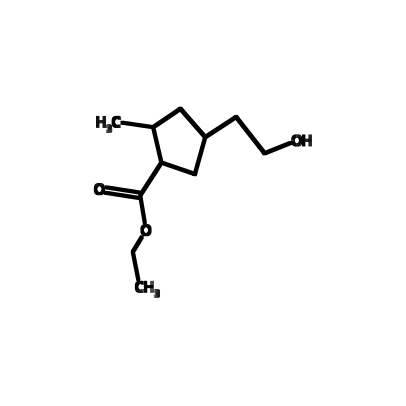 CCOC(=O)C1CC(CCO)CC1C